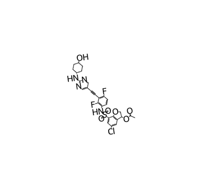 CC(=O)OC1COc2c1cc(Cl)cc2S(=O)(=O)Nc1ccc(F)c(C#Cc2cnc(N[C@H]3CC[C@H](O)CC3)nc2)c1F